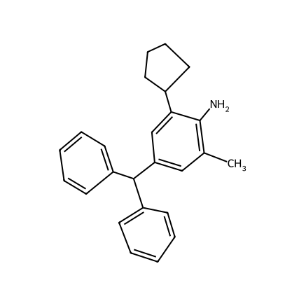 Cc1cc(C(c2ccccc2)c2ccccc2)cc(C2CCCC2)c1N